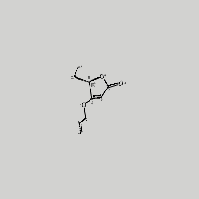 C=CCOC1=CC(=O)O[C@@H]1CC